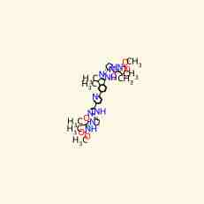 COC(=O)N[C@H](C(=O)N1CCC[C@H]1c1ncc(-c2ccc(-c3ccc4c(c3)C(C)(C)c3nc([C@@H]5CCCN5C(=O)[C@@H](NC(=O)OC)C(C)C)[nH]c3-4)nc2)[nH]1)C(C)C